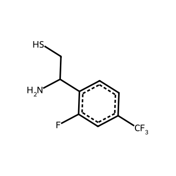 NC(CS)c1ccc(C(F)(F)F)cc1F